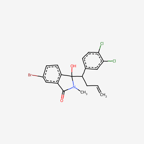 C=CCC(c1ccc(Cl)c(Cl)c1)C1(O)c2ccc(Br)cc2C(=O)N1C